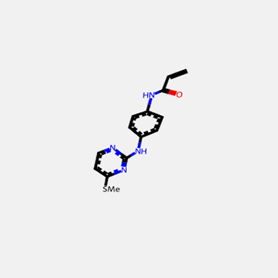 C=CC(=O)Nc1ccc(Nc2nccc(SC)n2)cc1